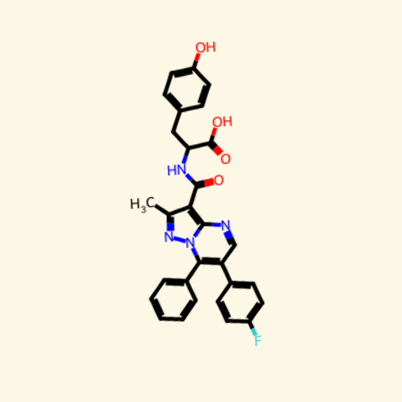 Cc1nn2c(-c3ccccc3)c(-c3ccc(F)cc3)cnc2c1C(=O)NC(Cc1ccc(O)cc1)C(=O)O